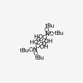 CC(C)(C)c1ccc2c(c1)-c1cc(C(C)(C)C)ccc1[N+]2=C1C=C(O)C(=C2C(=O)C(c3c(O)cc(-n4c5ccc(C(C)(C)C)cc5c5cc(C(C)(C)C)ccc54)cc3O)=C2[O-])C(O)=C1